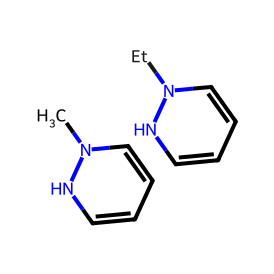 CCN1C=CC=CN1.CN1C=CC=CN1